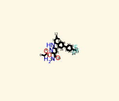 CCC(=O)Oc1nc(NC(CC(C)C)c2ccc(-c3ccc(C(F)(F)F)cc3)cc2)ccc1C(N)=O